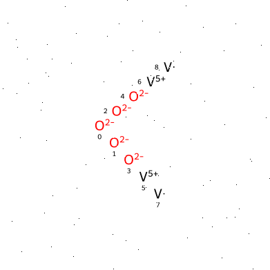 [O-2].[O-2].[O-2].[O-2].[O-2].[V+5].[V+5].[V].[V]